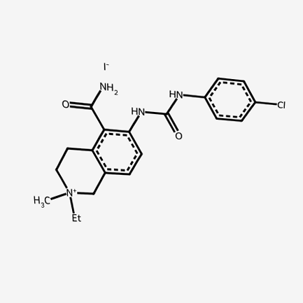 CC[N+]1(C)CCc2c(ccc(NC(=O)Nc3ccc(Cl)cc3)c2C(N)=O)C1.[I-]